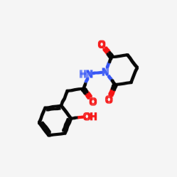 O=C(Cc1ccccc1O)NN1C(=O)CCCC1=O